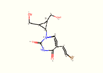 O=c1[nH]c(=O)n(C2C(CO)C2CO)cc1C=CBr